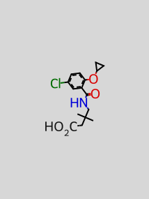 CC(C)(CNC(=O)c1cc(Cl)ccc1OC1CC1)CC(=O)O